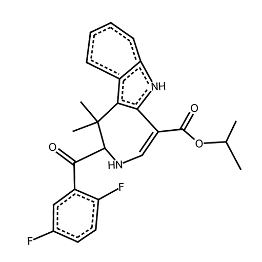 CC(C)OC(=O)C1=CNC(C(=O)c2cc(F)ccc2F)C(C)(C)c2c1[nH]c1ccccc21